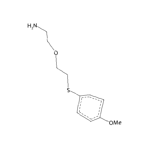 COc1ccc(SCCOCCN)cc1